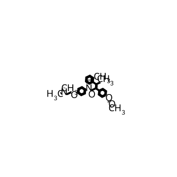 CCC(=C(C(=O)Nc1ccc(OCCN(C)C)cc1)c1ccc(OCOC)cc1)c1ccccc1C